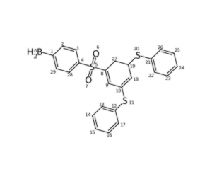 Bc1ccc(S(=O)(=O)C2=CC(Sc3ccccc3)=CC(Sc3ccccc3)C2)cc1